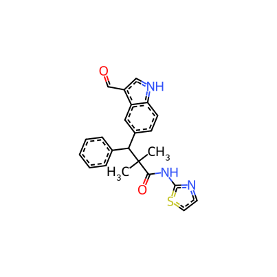 CC(C)(C(=O)Nc1nccs1)C(c1ccccc1)c1ccc2[nH]cc(C=O)c2c1